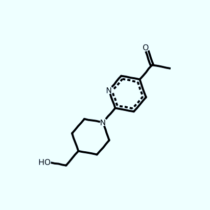 CC(=O)c1ccc(N2CCC(CO)CC2)nc1